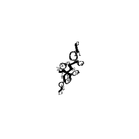 CCOC(=O)CCC(CC(=O)OCC)(C(C)=O)C(C)=O